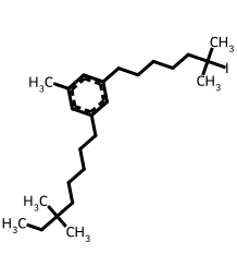 CCC(C)(C)CCCCCc1cc(C)cc(CCCCCC(C)(C)I)c1